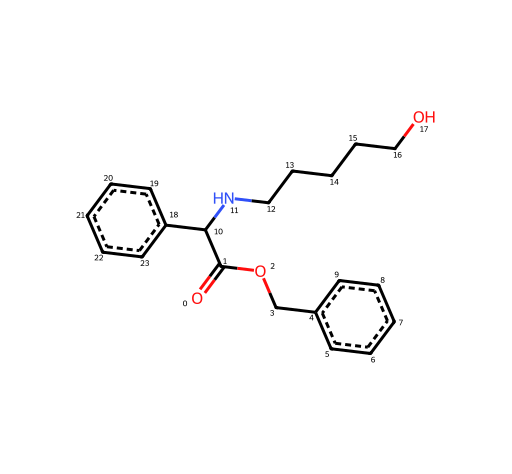 O=C(OCc1ccccc1)C(NCCCCCO)c1ccccc1